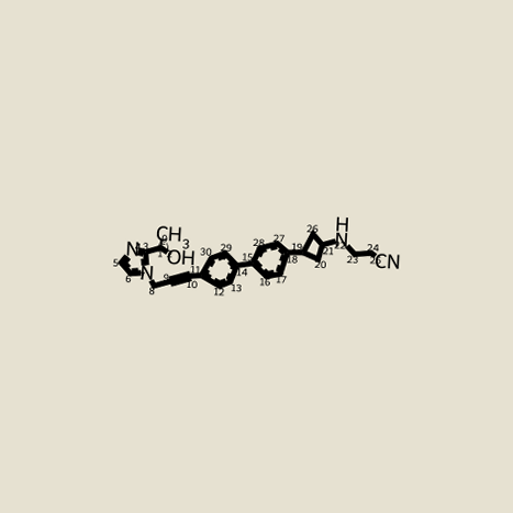 C[C@H](O)c1nccn1CC#Cc1ccc(-c2ccc(C3CC(NCCC#N)C3)cc2)cc1